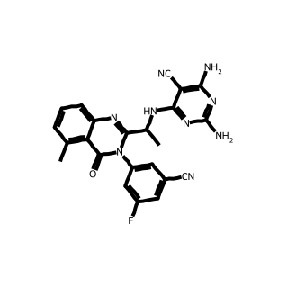 Cc1cccc2nc(C(C)Nc3nc(N)nc(N)c3C#N)n(-c3cc(F)cc(C#N)c3)c(=O)c12